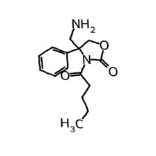 CCCCC(=O)N1C(=O)OCC1(CN)c1ccccc1